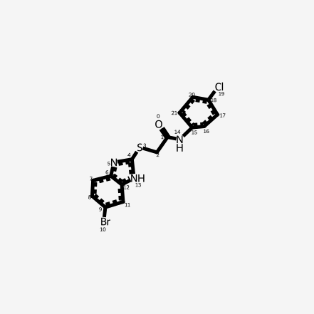 O=C(CSc1nc2ccc(Br)cc2[nH]1)Nc1ccc(Cl)cc1